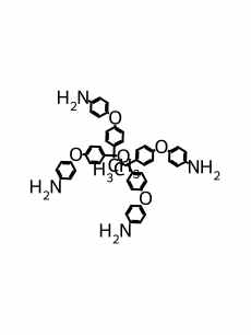 CC(OC(C)(c1ccc(Oc2ccc(N)cc2)cc1)c1ccc(Oc2ccc(N)cc2)cc1)(c1ccc(Oc2ccc(N)cc2)cc1)c1ccc(Oc2ccc(N)cc2)cc1